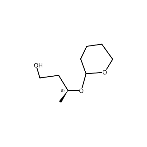 C[C@@H](CCO)OC1CCCCO1